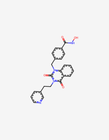 O=C(NO)c1ccc(Cn2c(=O)n(CCc3cccnc3)c(=O)c3ccccc32)cc1